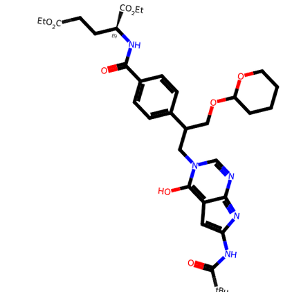 CCOC(=O)CC[C@H](NC(=O)c1ccc(C(COC2CCCCO2)Cn2cnc3nc(NC(=O)C(C)(C)C)cc-3c2O)cc1)C(=O)OCC